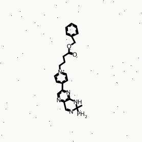 CC1(P)N=Cc2ncc(-c3cc[n+](CCCC(=O)OCc4ccccc4)cc3)nc2N1